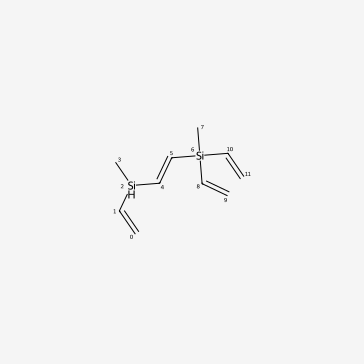 C=C[SiH](C)C=C[Si](C)(C=C)C=C